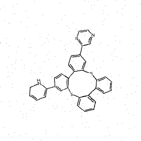 C1=CCNC(c2ccc3c(c2)Sc2ccccc2-c2ccccc2Sc2cc(-c4cnccn4)ccc2-3)=C1